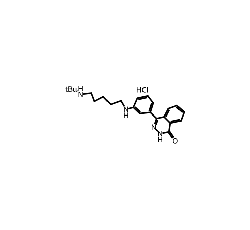 CC(C)(C)NCCCCCNc1cccc(-c2n[nH]c(=O)c3ccccc23)c1.Cl